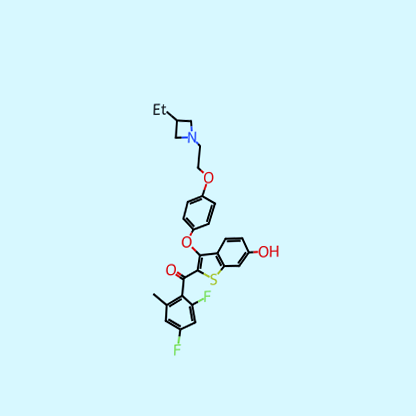 CCC1CN(CCOc2ccc(Oc3c(C(=O)c4c(C)cc(F)cc4F)sc4cc(O)ccc34)cc2)C1